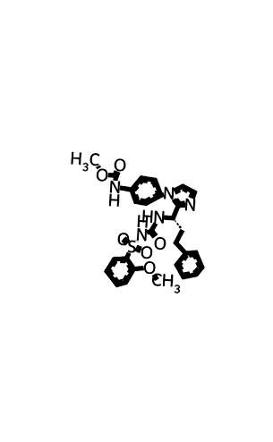 COC(=O)Nc1ccc(-n2ccnc2[C@H](CCc2ccccc2)NC(=O)NS(=O)(=O)c2ccccc2OC)cc1